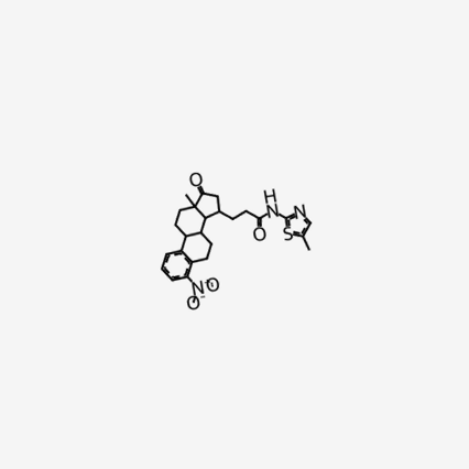 Cc1cnc(NC(=O)CCC2CC(=O)C3(C)CCC4c5cccc([N+](=O)[O-])c5CCC4C23)s1